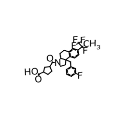 CC(F)(c1ccc2c(c1)CCC1N(C(=O)C3CCC(C(=O)O)C3)CCC21Cc1cccc(F)c1)C(F)(F)F